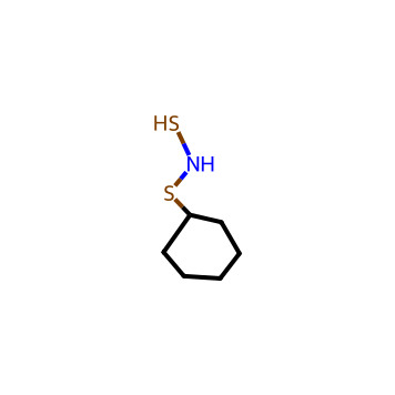 SNSC1CCCCC1